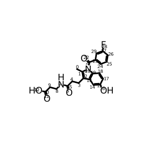 Cc1c(CCC(=O)NCCC(=O)O)c2cc(O)ccc2n1C(=O)c1cccc(F)c1